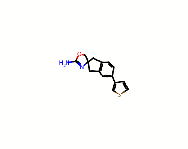 NC1=NC2(CO1)Cc1ccc(-c3ccsc3)cc1C2